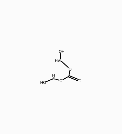 O=C([O][AlH][OH])[O][AlH][OH]